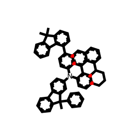 CC1(C)c2ccccc2-c2c(-c3ccc(N(c4ccc5c(c4)C(C)(c4ccccc4)c4ccccc4-5)c4ccccc4-c4cccc5cccc(C6CCCCC6)c45)cc3)cccc21